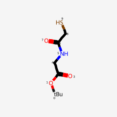 CC(C)(C)OC(=O)CNC(=O)CS